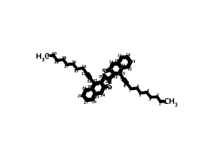 CCCCCCCCC#Cc1c2ccccc2cc2sc3c(sc4cc5ccccc5c(C#CCCCCCCCC)c43)c12